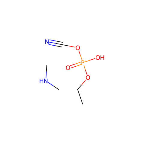 CCOP(=O)(O)OC#N.CNC